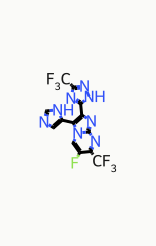 Fc1cn2c(-c3cnc[nH]3)c(-c3nc(C(F)(F)F)n[nH]3)nc2nc1C(F)(F)F